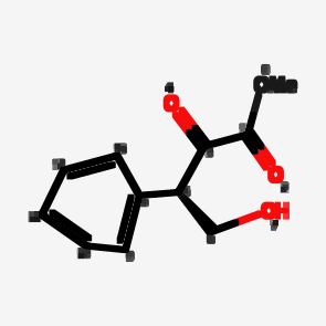 COC(=O)C(=O)[C@@H](CO)c1ccccc1